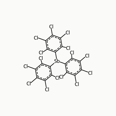 Clc1c(Cl)c(Cl)[c]([Sb]([c]2c(Cl)c(Cl)c(Cl)c(Cl)c2Cl)[c]2c(Cl)c(Cl)c(Cl)c(Cl)c2Cl)c(Cl)c1Cl